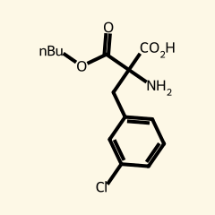 CCCCOC(=O)C(N)(Cc1cccc(Cl)c1)C(=O)O